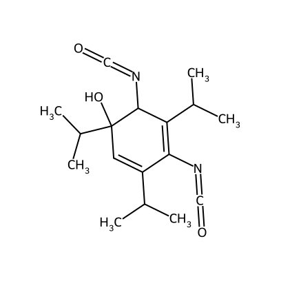 CC(C)C1=CC(O)(C(C)C)C(N=C=O)C(C(C)C)=C1N=C=O